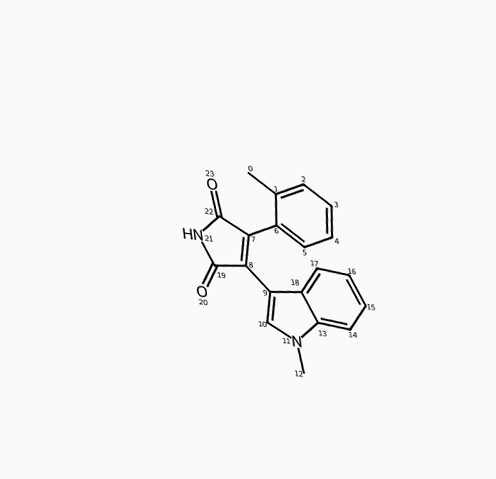 Cc1ccccc1C1=C(c2cn(C)c3ccccc23)C(=O)NC1=O